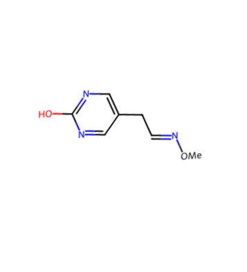 CON=CCc1cnc(O)nc1